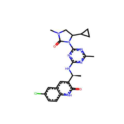 Cc1nc(N[C@@H](C)c2cc3cc(Cl)ccc3[nH]c2=O)nc(N2C(=O)N(C)CC2C2CC2)n1